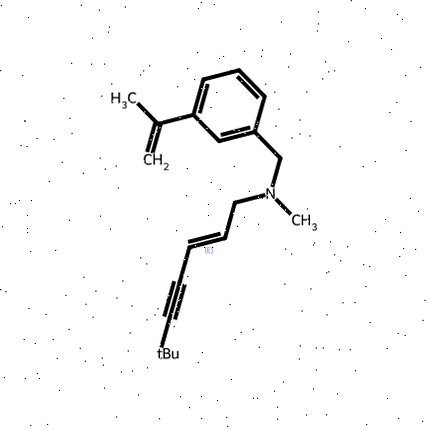 C=C(C)c1cccc(CN(C)C/C=C/C#CC(C)(C)C)c1